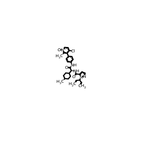 C=CC(C=C)n1nccc1C(=O)N[C@H](C(=O)Nc1ccc(-c2c(Cl)cc[n+]([O-])c2C)cc1)C1CCC(C)CC1